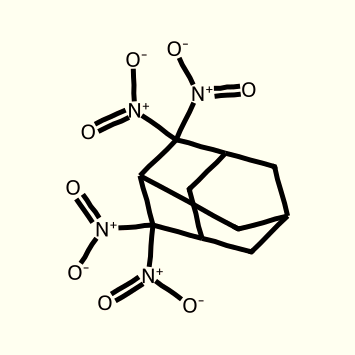 O=[N+]([O-])C1([N+](=O)[O-])C2CC3CC(C2)C([N+](=O)[O-])([N+](=O)[O-])C1C3